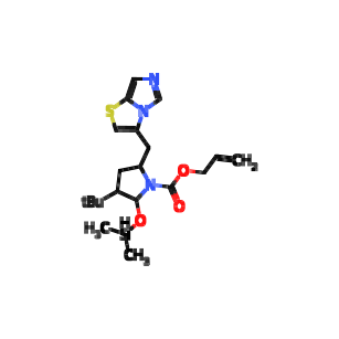 C=CCOC(=O)N1C(Cc2csc3cncn23)CC(C(C)(C)C)C1O[SiH](C)C